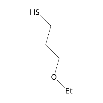 CCOCCCS